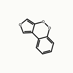 c1ccc2c(c1)OOc1cocc1-2